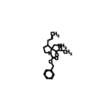 C=CCC1CCN(C(=O)OCc2ccccc2)C1(CN)C(=O)OC